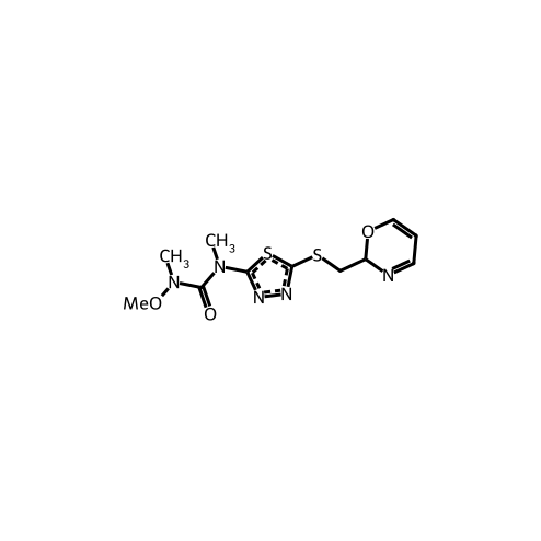 CON(C)C(=O)N(C)c1nnc(SCC2N=CC=CO2)s1